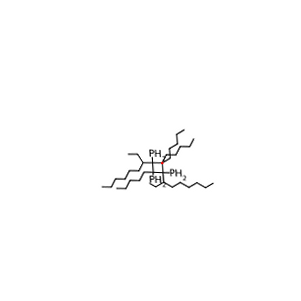 CCCCCCC(CC)C(P)(CCCCCC)C(P)(CCCCC)C(P)(CCCCCC)C(CC)CCCCCC